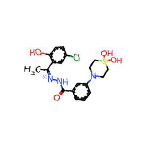 C/C(=N/NC(=O)c1cccc(N2CCS(O)(O)CC2)c1)c1cc(Cl)ccc1O